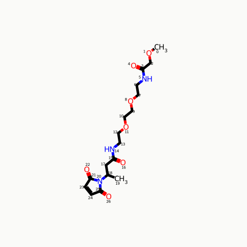 COCC(=O)NCCOCCOCCNC(=O)CC(C)N1C(=O)C=CC1=O